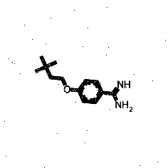 CC(C)(C)CCOc1ccc(C(=N)N)cc1